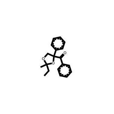 CCC1(C)OCC(C(=O)c2ccccc2)(c2ccccc2)O1